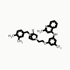 Cc1cc(Nc2cc(OCCN3C[C@@H]4CC3CN4Cc3ccc(C)c(C)c3)cc(C(F)(F)F)c2)c2ccccc2n1